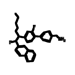 CCCCCC(c1ccc(-c2ccc(CN)cc2)c(F)c1)C(F)c1ccc2ccccc2c1